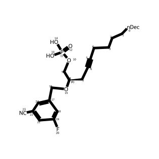 CCCCCCCCCCCCCCC#CC[C@H](COP(=O)(O)O)OCc1cc(F)cc(C#N)c1